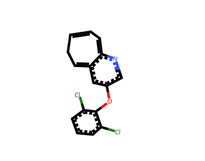 Clc1cccc(Cl)c1Oc1cnc2c(c1)=CCC=CC=2